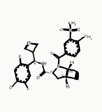 Cc1ccc(C(=O)N2[C@@H](C(=O)N[C@@H](c3cc(F)c(Cl)cc3F)C3COC3)C[C@H]3C#C[C@H]32)cc1S(C)(=O)=O